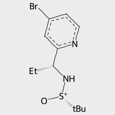 CC[C@@H](N[S@@+]([O-])C(C)(C)C)c1cc(Br)ccn1